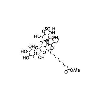 COC(=O)CCCCCCCCO[C@@H]1O[C@H](CO)[C@@H](O[C@@H]2O[C@@H](C)[C@@H](O)[C@@H](O)[C@@H]2O)[C@H](O[C@@H]2O[C@H](CO)[C@H](O)[C@H](OS(=O)(=O)O)[C@H]2O)[C@H]1NC(=O)c1ccccc1